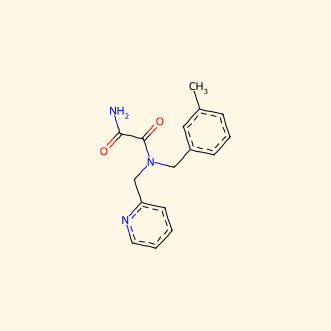 Cc1cccc(CN(Cc2ccccn2)C(=O)C(N)=O)c1